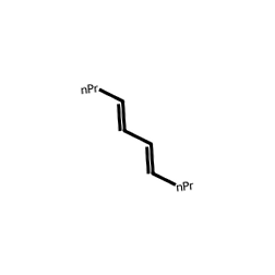 [CH2]CC/C=C/C=C/CCC